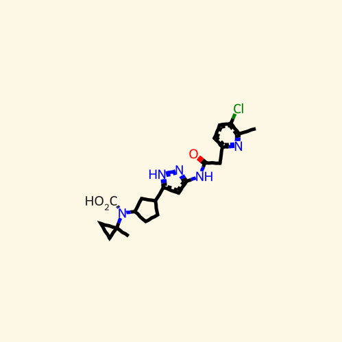 Cc1nc(CC(=O)Nc2cc(C3CCC(N(C(=O)O)C4(C)CC4)C3)[nH]n2)ccc1Cl